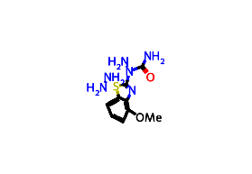 COc1cccc2sc(N(N)C(N)=O)nc12.NN